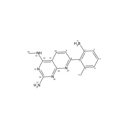 Bc1cccc(C)c1-c1ccc2c(NC)nc(N)nc2n1